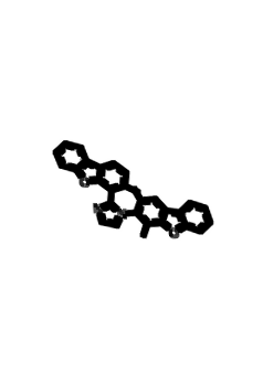 Cc1cc2c(oc3ccccc32)c(C)c1-n1ccnc1-c1c(C)ccc2c1oc1ccccc12